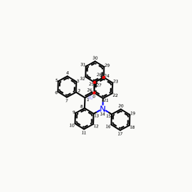 C(=C(/c1ccccc1)c1ccccc1N(c1ccccc1)c1ccccc1)/c1ccccc1